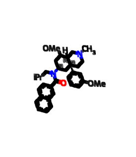 COc1cccc([C@@]23CCN(C)C[C@H]2C(OC)C[C@H](N(CC(C)C)C(=O)c2ccc4ccccc4c2)C3)c1